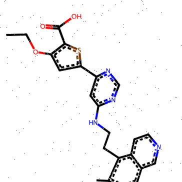 CCOc1cc(-c2cc(NCCc3c(C)ccc4cnccc34)ncn2)sc1C(=O)O